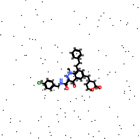 Cn1nc(C(=O)NCc2ccc(Cl)cc2)c(=O)c2cc(CC3CCOC(=O)C3)cc(CCc3ccccc3)c21